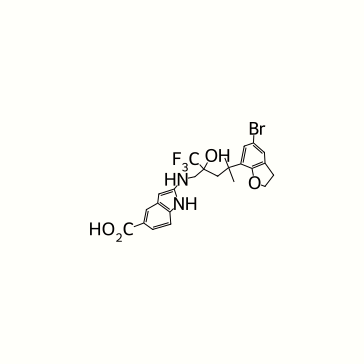 CC(C)(CC(O)(CNc1cc2cc(C(=O)O)ccc2[nH]1)C(F)(F)F)c1cc(Br)cc2c1OCC2